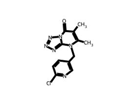 Cc1c(C)n(Cc2ccc(Cl)nc2)c2nnnn2c1=O